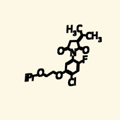 CC(C)=C1CC(=O)N(c2cc(OCCOC(C)C)c(Cl)cc2F)C1=O